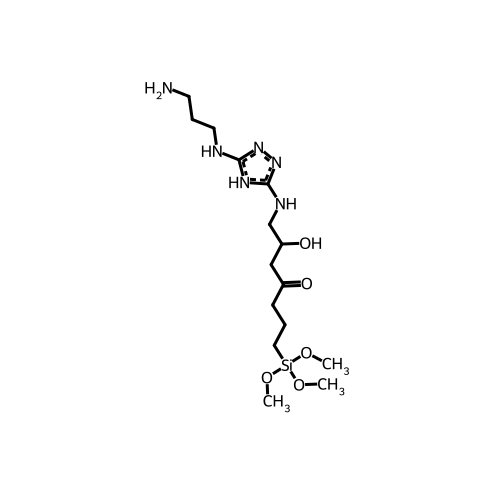 CO[Si](CCCC(=O)CC(O)CNc1nnc(NCCCN)[nH]1)(OC)OC